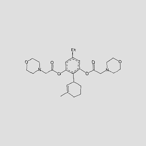 CCc1cc(OC(=O)CN2CCOCC2)c(C2C=C(C)CCC2)c(OC(=O)CN2CCOCC2)c1